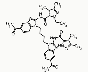 CCn1nc(C)c(C)c1C(=O)Nc1nc2cc(C(N)=O)ccc2n1CCCCn1c(NC(=O)c2[nH]nc(C)c2C)nc2cc(C(N)=O)ccc21